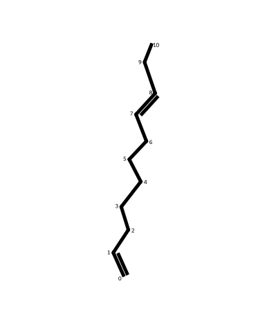 C=CCCCCCC=CCC